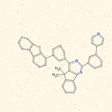 CC1(C)c2ccccc2-c2nc(-c3cccc(-c4ccncc4)c3)nc(-c3cccc(-c4cccc5c4sc4ccccc45)c3)c21